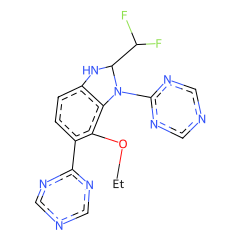 CCOc1c(-c2ncncn2)ccc2c1N(c1ncncn1)C(C(F)F)N2